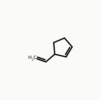 C=CC1C=CCC1